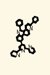 c1ccc(-c2ccc3c(ccc4c5cc(-c6cc(-c7ccccn7)nc(-c7ccccn7)c6)ccc5nc(-c5ccccc5)c34)n2)cc1